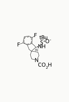 CC(C)(C)[S+]([O-])N[C@@H]1c2c(F)ccc(F)c2CC12CCN(C(=O)O)CC2